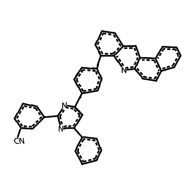 N#Cc1cccc(-c2nc(-c3ccccc3)cc(-c3ccc(-c4cccc5cc6c(ccc7ccccc76)nc45)cc3)n2)c1